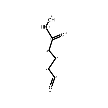 O=CCCCC(=O)NO